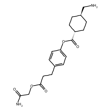 NC[C@H]1CC[C@H](C(=O)Oc2ccc(CCC(=O)OCC(N)=O)cc2)CC1